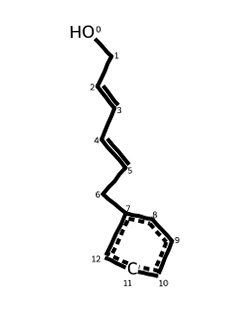 OCC=CC=CCc1ccccc1